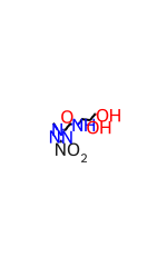 Cn1nc([N+](=O)[O-])nc1C(=O)NCC(O)CO